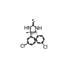 C[C@@]1(c2cccc(Cl)c2)NC(=S)N[C@@H]1c1ccc(Cl)cc1